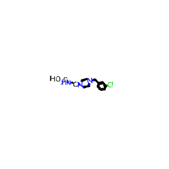 O=C(O)NCCN1CCN(Cc2cccc(Cl)c2)CC1